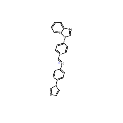 C(=N\c1ccc(-n2ccnc2)cc1)/c1ccc(-n2cnc3ccccc32)cc1